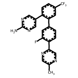 Cc1cnc(-c2ccc(-c3cc(C(F)(F)F)ccc3-c3cnc(N)nc3)cc2F)cn1